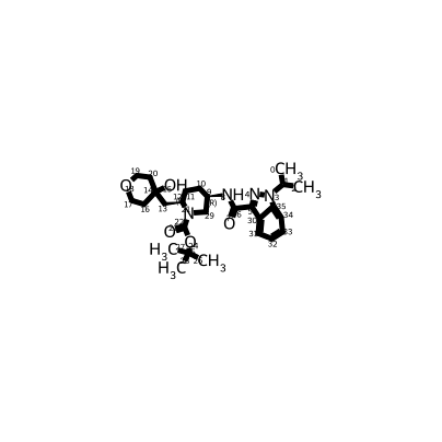 CC(C)n1nc(C(=O)N[C@@H]2CC[C@H](CC3(O)CCOCC3)N(C(=O)OC(C)(C)C)C2)c2ccccc21